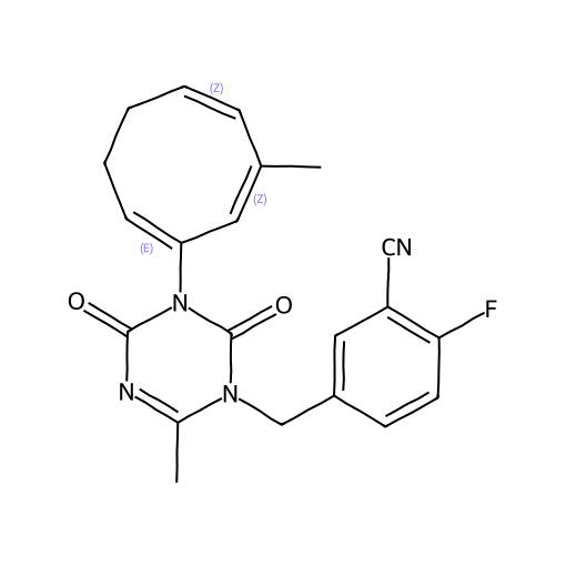 CC1=C/C(n2c(=O)nc(C)n(Cc3ccc(F)c(C#N)c3)c2=O)=C\CC/C=C\1